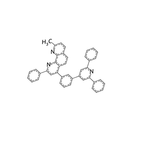 Cc1ccc2ccc3c(-c4cccc(-c5cc(-c6ccccc6)nc(-c6ccccc6)c5)c4)cc(-c4ccccc4)nc3c2n1